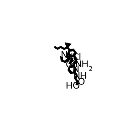 CCCCC1(c2ccc(CC(N)(c3cccc(NCC(=O)O)n3)S(=O)(=O)c3cccnc3)cc2)CC1.Cl